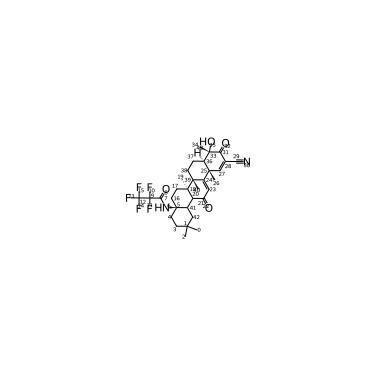 CC1(C)CC[C@]2(NC(=O)C(F)(F)C(F)(F)F)CC[C@]3(C)C(C(=O)C=C4[C@@]5(C)C=C(C#N)C(=O)[C@@](C)(O)[C@@H]5CC[C@]43C)C2C1